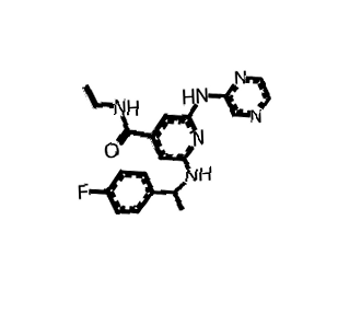 CCNC(=O)c1cc(Nc2cnccn2)nc(NC(C)c2ccc(F)cc2)c1